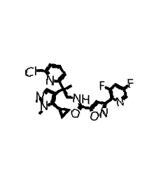 Cn1ncc(C(C)(CNC(=O)c2cc(-c3ncc(F)cc3F)no2)c2cccc(Cl)n2)c1C1CC1